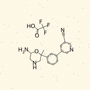 CC1(c2cccc(-c3cncc(C#N)c3)c2)CNCC(N)O1.O=C(O)C(F)(F)F